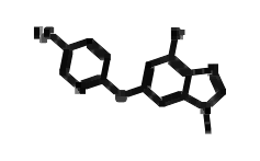 Cn1cnc2c(Br)cc(Oc3ccc(C(F)(F)F)cn3)cc21